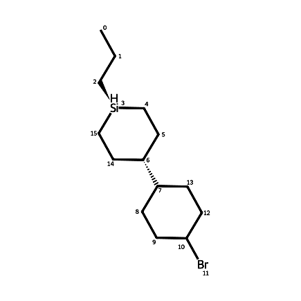 CCC[Si@H]1CC[C@H](C2CCC(Br)CC2)CC1